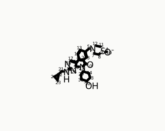 O=c1c2cc(CN3CC[S+]([O-])CC3)ccc2c2cnc(NCC3CC3)nc2n1C1CCC(O)CC1